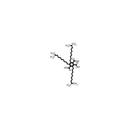 CC(C)CCCCCCCCc1c(CCCCCCCCC(C)C)c(C(=O)O)c(C(=O)O)c(CCCCCCCCC(C)C)c1C(=O)O